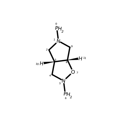 PN1C[C@H]2CN(P)O[C@H]2C1